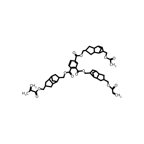 C=CC(=O)OCC1CC2C3CC(COC(=O)c4cc(C(=O)OCC5CC6C7CC(COC(C)=O)C(C7)C6C5)ccc4C(=O)OCC4CC5CC4C4CC(COC(=O)C(=C)C)CC54)C(C3)C2C1